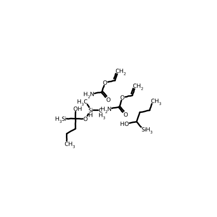 C=COC(N)=O.C=COC(N)=O.CCCC(O)([SiH3])O[SiH](C)C.CCCC(O)[SiH3]